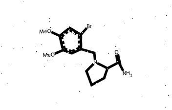 COc1cc(Br)c(CN2CC[CH]C2C(N)=O)cc1OC